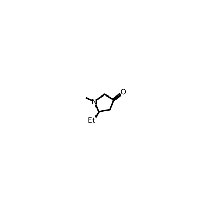 CCC1CC(=O)CN1C